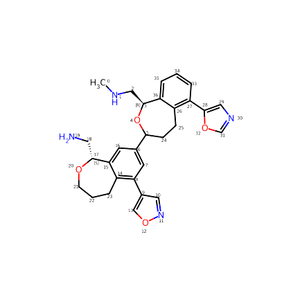 CNC[C@@H]1OC(c2cc(-c3cnoc3)c3c(c2)[C@@H](CN)OCCC3)CCc2c(-c3cnco3)cccc21